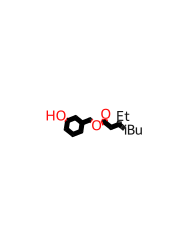 CCC(C)C(CC)CC(=O)OCC1CCCC(O)C1